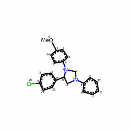 COc1ccc(N2CN(c3ccccc3)CC2c2ccc(Cl)cc2)cc1